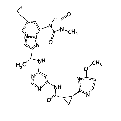 COc1ccnc([C@H]2C[C@@H]2C(=O)Nc2cc(N[C@H](C)c3cn4cc(C5CC5)cc(N5CC(=O)N(C)C5=O)c4n3)ncn2)n1